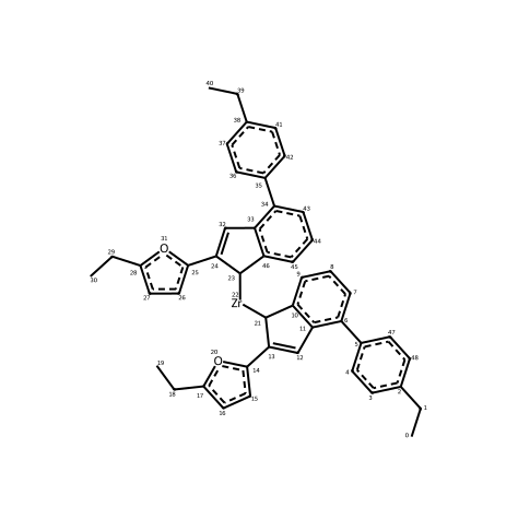 CCc1ccc(-c2cccc3c2C=C(c2ccc(CC)o2)[CH]3[Zr][CH]2C(c3ccc(CC)o3)=Cc3c(-c4ccc(CC)cc4)cccc32)cc1